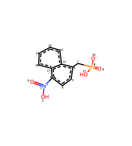 O=[N+](O)c1ccc(CP(=O)([O-])O)c2ccccc12